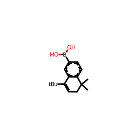 CC(C)(C)C1=CCC(C)(C)c2ccc(B(O)O)cc21